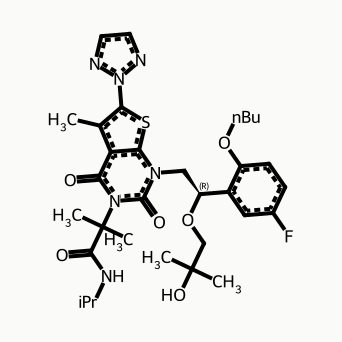 CCCCOc1ccc(F)cc1[C@H](Cn1c(=O)n(C(C)(C)C(=O)NC(C)C)c(=O)c2c(C)c(-n3nccn3)sc21)OCC(C)(C)O